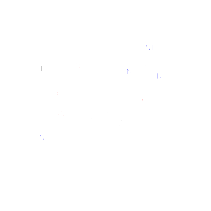 Cc1cc(Oc2ccccn2)c(S(C)(=O)=O)cc1C(=O)N=C(N)N